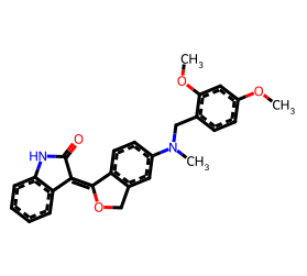 COc1ccc(CN(C)c2ccc3c(c2)COC3=C2C(=O)Nc3ccccc32)c(OC)c1